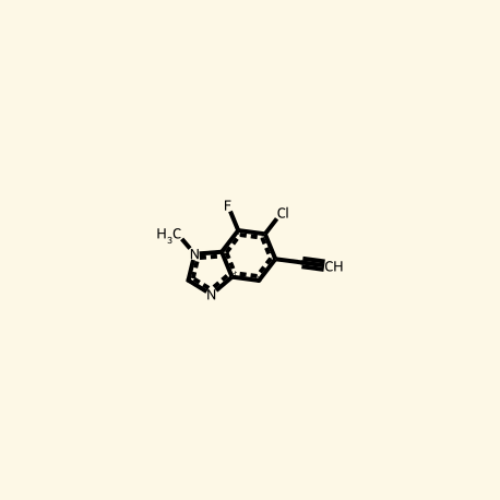 C#Cc1cc2ncn(C)c2c(F)c1Cl